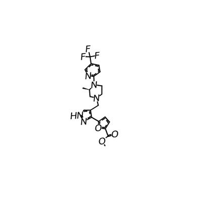 COC(=O)c1ccc(-c2n[nH]cc2CN2CCN(c3ccc(C(F)(F)F)cn3)[C@H](C)C2)o1